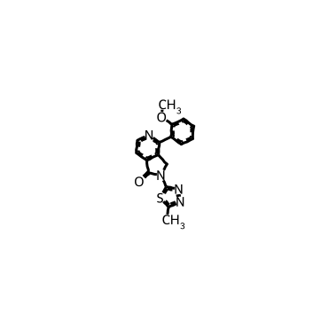 COc1ccccc1-c1nccc2c1CN(c1nnc(C)s1)C2=O